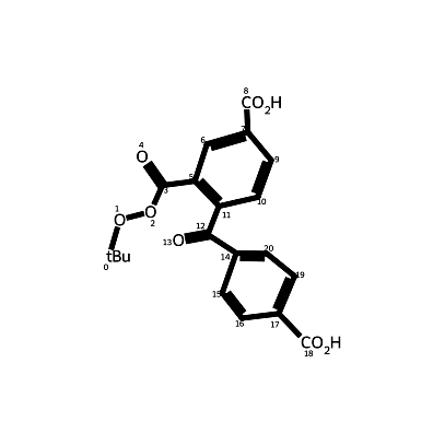 CC(C)(C)OOC(=O)c1cc(C(=O)O)ccc1C(=O)c1ccc(C(=O)O)cc1